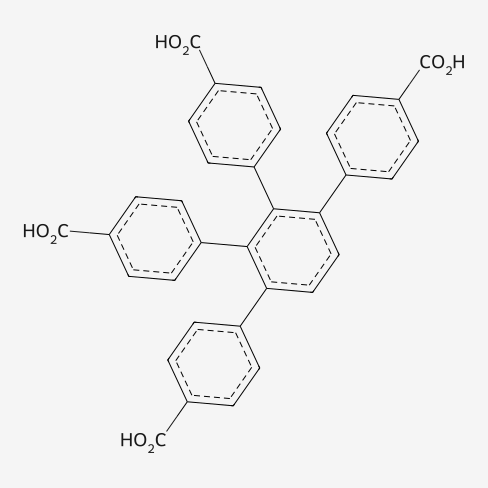 O=C(O)c1ccc(-c2ccc(-c3ccc(C(=O)O)cc3)c(-c3ccc(C(=O)O)cc3)c2-c2ccc(C(=O)O)cc2)cc1